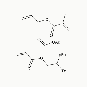 C=CC(=O)OCC(CC)CCCC.C=CCOC(=O)C(=C)C.C=COC(C)=O